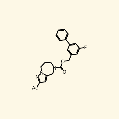 CC(=O)c1cc2n(n1)CCCN(C(=O)OCc1cc(F)cc(-c3ccccc3)c1)C2